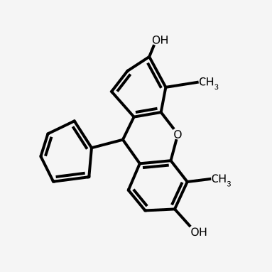 Cc1c(O)ccc2c1Oc1c(ccc(O)c1C)C2c1ccccc1